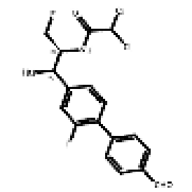 O=Cc1ccc(-c2ccc([C@@H](O)[C@@H](CF)NC(=O)C(Cl)Cl)cc2F)cc1